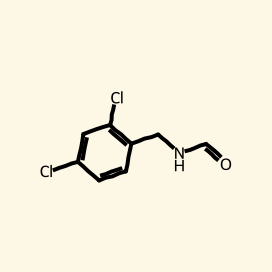 O=CNCc1ccc(Cl)cc1Cl